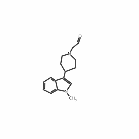 Cn1cc(C2CCN(CC=O)CC2)c2ccccc21